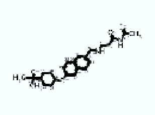 CC(=O)NC(=O)CCNCc1ccc2cc(OC3CCC(C(C)(C)C)CC3)ccc2c1